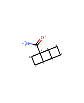 NC(=O)C12C3C4C5C3C1C5C42